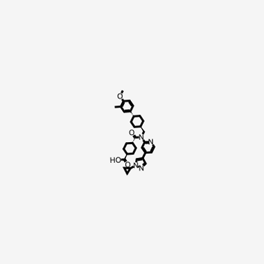 COc1ccc([C@H]2CC[C@H](CN(c3cc(-c4cnn(C5CC5)c4)ccn3)C(=O)[C@H]3CC[C@H](C(=O)O)CC3)CC2)cc1C